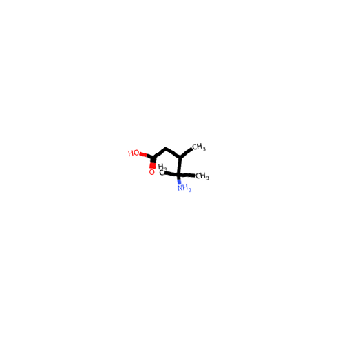 CC(CC(=O)O)C(C)(C)N